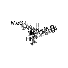 COc1ccc(CN(C)c2cc(Nc3cccc(-c4ccc(C5OCCO5)cn4)c3)nn3c(C(=O)N[C@@H]4C[C@@H]4F)cnc23)cc1